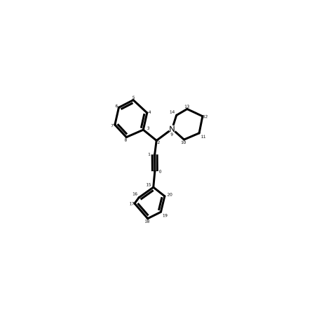 C(#CC(c1ccccc1)N1CCCCC1)c1ccccc1